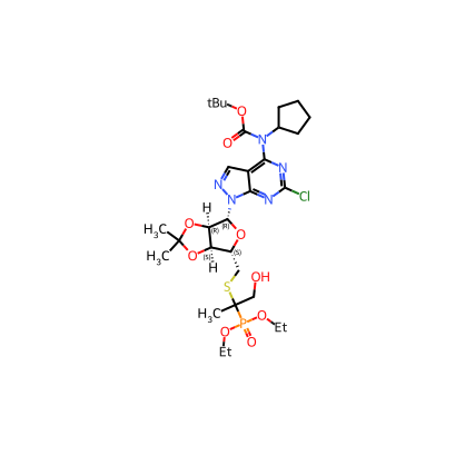 CCOP(=O)(OCC)C(C)(CO)SC[C@H]1O[C@@H](n2ncc3c(N(C(=O)OC(C)(C)C)C4CCCC4)nc(Cl)nc32)[C@@H]2OC(C)(C)O[C@@H]21